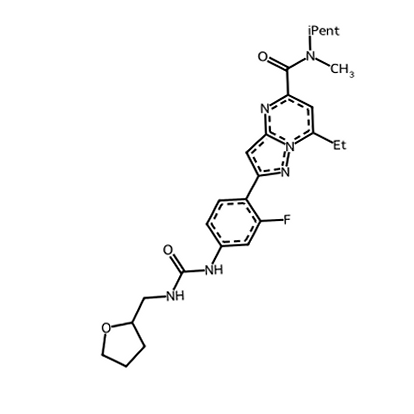 CCCC(C)N(C)C(=O)c1cc(CC)n2nc(-c3ccc(NC(=O)NCC4CCCO4)cc3F)cc2n1